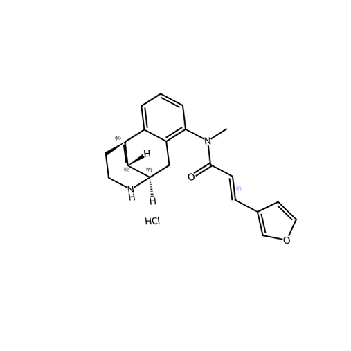 CN(C(=O)/C=C/c1ccoc1)c1cccc2c1C[C@H]1NCC[C@@]23CCCC[C@@H]13.Cl